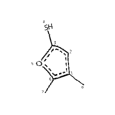 Cc1cc(S)oc1C